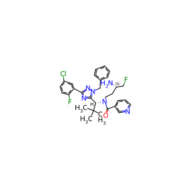 CC(C)(C)[C@H](c1nc(-c2cc(Cl)ccc2F)nn1Cc1ccccc1)N(CC[C@H](N)CF)C(=O)c1cccnc1